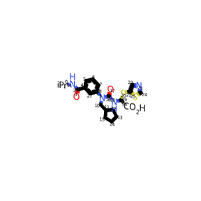 CC(C)NC(=O)c1cccc(N(CC2CCCC2)C(=O)NC(Sc2cncs2)C(=O)O)c1